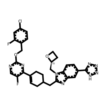 Fc1cc(Cl)ccc1COc1ncc(F)c(C2=CCC(Cc3nc4cc(-c5nnn[nH]5)ccc4n3C[C@@H]3CCO3)CC2)n1